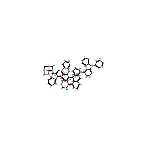 c1ccc(-n2c3ccccc3c3c(-c4ccc(N(c5ccccc5-c5ccc6c(c5)C5(c7ccccc7-6)C6CC7CC8CC5C786)c5ccccc5-c5cccc6cccc(C7CCCCC7)c56)cc4)cccc32)cc1